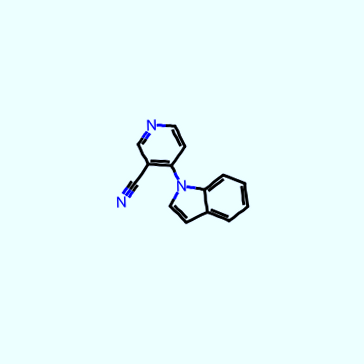 N#Cc1cnccc1-n1ccc2ccccc21